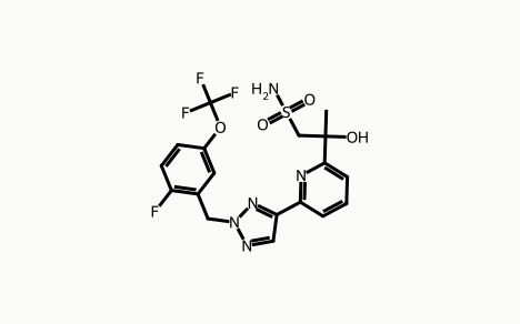 CC(O)(CS(N)(=O)=O)c1cccc(-c2cnn(Cc3cc(OC(F)(F)F)ccc3F)n2)n1